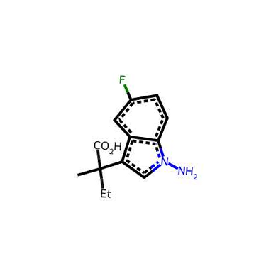 CCC(C)(C(=O)O)c1cn(N)c2ccc(F)cc12